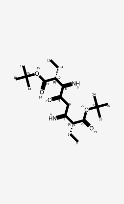 CC[C@H](C(=N)CC(=O)C(=N)[C@@H](CC)C(=O)OC(C)(C)C)C(=O)OC(C)(C)C